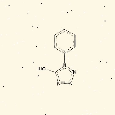 Oc1nnnn1-c1ccccc1